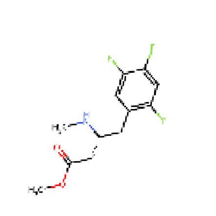 CN[C@@H](CC(=O)OC)Cc1cc(F)c(F)cc1F